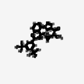 CC(NC(=O)c1cc(C(F)(F)F)cc(C(F)(F)F)c1)c1nccnc1-n1cc(C(=O)N(C)C2CC2)cn1